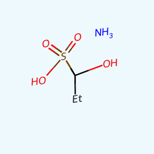 CCC(O)S(=O)(=O)O.N